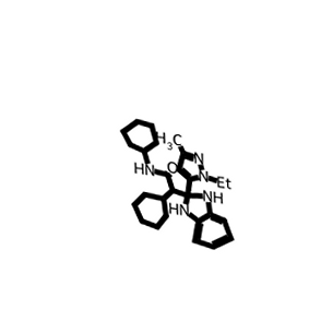 CCn1nc(C)cc1C1(C(C(=O)NC2CCCCC2)C2CCCCC2)Nc2ccccc2N1